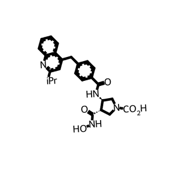 CC(C)c1cc(Cc2ccc(C(=O)N[C@@H]3CN(C(=O)O)C[C@@H]3C(=O)NO)cc2)c2ccccc2n1